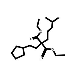 CCOC(=O)C(CCCC(C)C)(CCC1CCCC1)C(=O)OCC